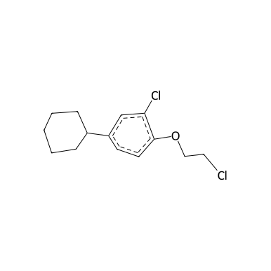 ClCCOc1ccc(C2CCCCC2)cc1Cl